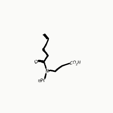 C=CCCC(=O)N(CCC)CCC(=O)O